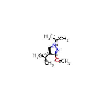 COc1nn(C(C)C)cc1C(C)C